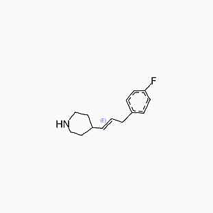 Fc1ccc(C/C=C/C2CCNCC2)cc1